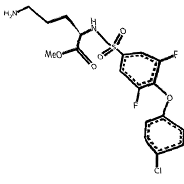 COC(=O)[C@@H](CCCN)NS(=O)(=O)c1cc(F)c(Oc2ccc(Cl)cc2)c(F)c1